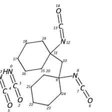 N=C=O.N=C=O.O=C=NC1(CC2(N=C=O)CCCCC2)CCCCC1